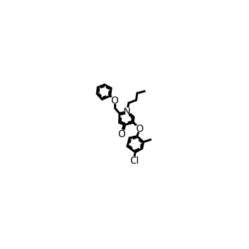 CCCCn1cc(Oc2ccc(Cl)cc2C)c(=O)cc1COc1ccccc1